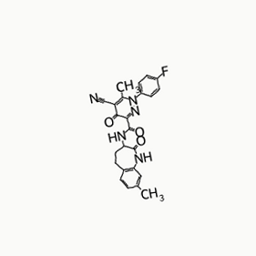 Cc1ccc2c(c1)NC(=O)C(NC(=O)c1nn(-c3ccc(F)cc3)c(C)c(C#N)c1=O)CC2